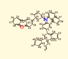 C=C/C=C(\C(=C/Cc1ccc(N(c2cccc(C3=CC=C4CC(=C3)c3ccccc3O4)c2)c2cccc3ccccc23)cc1)c1ccccc1)c1ccccc1